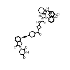 O=C1CCC(N2Cc3c(C#CC4CCN(C(=O)C5CC(NC(=O)[C@@H]6NC7(CCCCC7)[C@@]7(C(=O)Nc8cc(Cl)ccc87)[C@H]6c6cccc(Cl)c6F)C5)CC4)cccc3C2=O)C(=O)N1